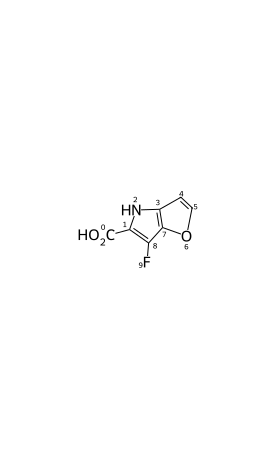 O=C(O)c1[nH]c2ccoc2c1F